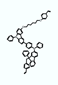 C=Cc1ccc(CC2(c3ccccc3)c3ccccc3-c3ccc(N(c4ccccc4)c4ccc(-c5ccc6c(c5)c5cc(OCCCCCCOC7=CCC(C=C)C=C7)ccc5n6-c5ccccc5)cc4)cc32)cc1